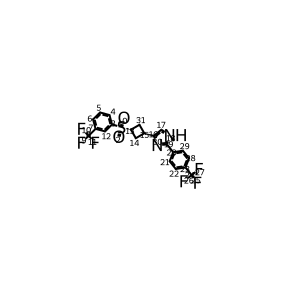 O=S(=O)(c1cccc(C(F)(F)F)c1)[C@H]1C[C@H](c2c[nH]c(-c3ccc(C(F)(F)F)cc3)n2)C1